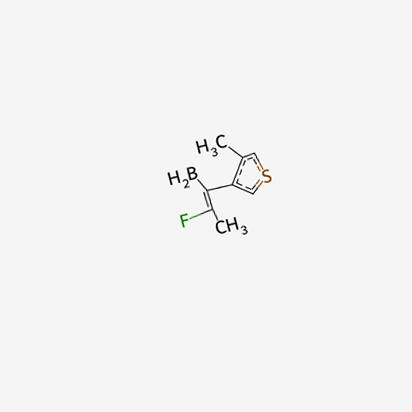 B/C(=C(/C)F)c1cscc1C